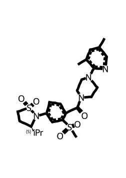 Cc1cnc(N2CCN(C(=O)c3ccc(N4[C@H](C(C)C)CCS4(=O)=O)cc3S(C)(=O)=O)CC2)c(C)c1